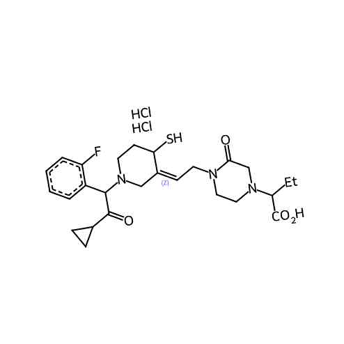 CCC(C(=O)O)N1CCN(C/C=C2/CN(C(C(=O)C3CC3)c3ccccc3F)CCC2S)C(=O)C1.Cl.Cl